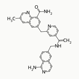 C=C(NCc1ccc2c(N)nccc2c1)c1ccnc(Cc2cc(C(N)=O)c3ncc(C)cc3c2)c1